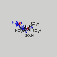 CC(=O)C[C@@H](Cc1ccc(OC2=C(/C=C/C3=[N+](CCCCS(=O)(=O)O)c4ccc(S(=O)(=O)O)cc4C3(C)C)CCC/C2=C\C=C2\N(CCCCS(=O)(=O)O)c3ccc(S(=O)(=O)O)cc3C2(C)C)cc1)NNC(=O)c1ccc(NCc2cnc3nc(N)[nH]c(=O)c3n2)cc1